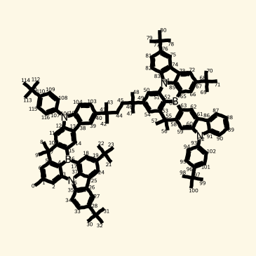 Cc1cc2c3c(c1)C(C)(C)c1cc4c(cc1B3c1cc(C(C)(C)C)cc3c5cc(C(C)(C)C)ccc5n-2c13)c1cc(C(C)(C)CCC(C)(C)c2cc3c5c(c2)C(C)(C)c2cc6c(cc2B5c2cc(C(C)(C)C)cc5c7cc(C(C)(C)C)ccc7n-3c25)c2ccccc2n6-c2ccc(C(C)(C)C)cc2)ccc1n4-c1ccc(C(C)(C)C)cc1